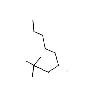 C[C@@H](CCCCF)CC(C)(C)C